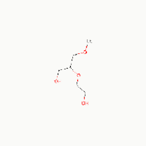 CCOCC(CO)OCCO